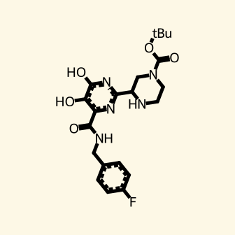 CC(C)(C)OC(=O)N1CCNC(c2nc(O)c(O)c(C(=O)NCc3ccc(F)cc3)n2)C1